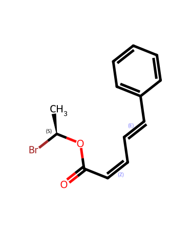 C[C@H](Br)OC(=O)/C=C\C=C\c1ccccc1